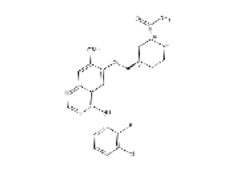 COc1cc2ncnc(Nc3cccc(Cl)c3F)c2cc1OC[C@@H]1CCN[C@@H](C(N)=O)C1